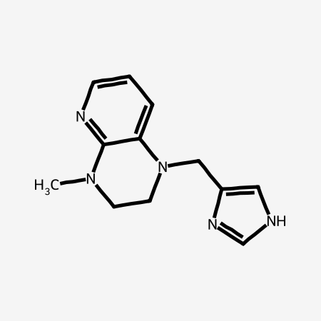 CN1CCN(Cc2c[nH]cn2)c2cccnc21